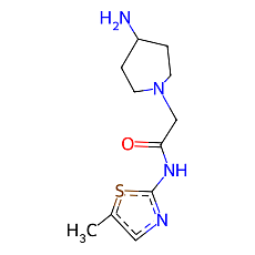 Cc1cnc(NC(=O)CN2CCC(N)CC2)s1